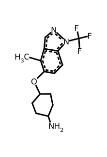 Cc1c(OC2CCC(N)CC2)ccc2c1cnn2C(F)(F)F